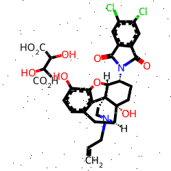 C=CCN1CC[C@]23c4c5ccc(O)c4O[C@H]2[C@H](N2C(=O)c4cc(Cl)c(Cl)cc4C2=O)CC[C@@]3(O)[C@H]1C5.O=C(O)C(O)C(O)C(=O)O